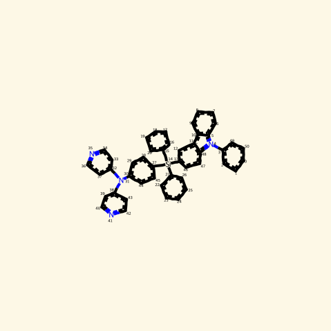 c1ccc(-n2c3ccccc3c3cc([Si](c4ccccc4)(c4ccccc4)c4ccc(N(c5ccncc5)c5ccncc5)cc4)ccc32)cc1